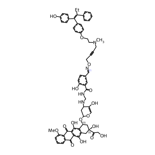 CCC(=C(c1ccc(O)cc1)c1ccc(OCCN(C)CC#CCO/N=C/c2ccc(O)c(C(=O)NCNC3CC(O[C@H]4C[C@](O)(C(=O)CO)Cc5c(O)c6c(c(O)c54)C(=O)c4c(OC)cccc4C6=O)OC=C3O)c2)cc1)c1ccccc1